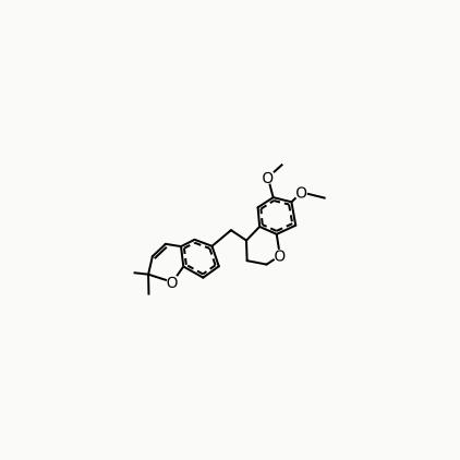 COc1cc2c(cc1OC)C(Cc1ccc3c(c1)C=CC(C)(C)O3)CCO2